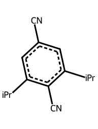 CC(C)c1cc(C#N)cc(C(C)C)c1C#N